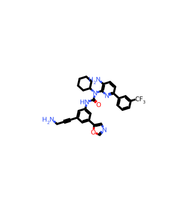 NCC#Cc1cc(NC(=O)N(c2nc(-c3cccc(C(F)(F)F)c3)ccc2N)C2CCCCC2)cc(-c2cnco2)c1